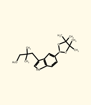 CC(=O)OCC(C)(C)Cc1c[nH]c2ccc(B3OC(C)(C)C(C)(C)O3)cc12